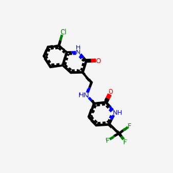 O=c1[nH]c2c(Cl)cccc2cc1CNc1ccc(C(F)(F)F)[nH]c1=O